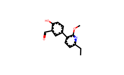 CCc1ccc(-c2ccc(O)c(C=O)c2)c(OC)n1